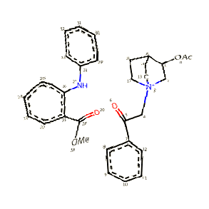 CC(=O)OC1C[N+]2(CC(=O)c3ccccc3)CCC1CC2.COC(=O)c1ccccc1Nc1ccccc1